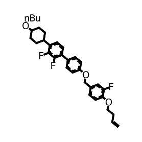 C=CCCOc1ccc(COc2ccc(-c3ccc(C4CCC(OCCCC)CC4)c(F)c3F)cc2)cc1F